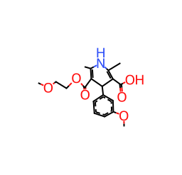 COCCOC(=O)C1=C(C)NC(C)=C(C(=O)O)C1c1cccc(OC)c1